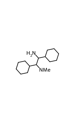 CNC(C1CCCCC1)C(N)C1CCCCC1